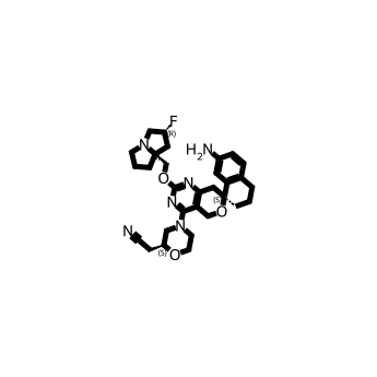 N#CC[C@H]1CN(c2nc(OC[C@@]34CCCN3C[C@H](F)C4)nc3c2CO[C@@]2(CCCc4ccc(N)cc42)C3)CCO1